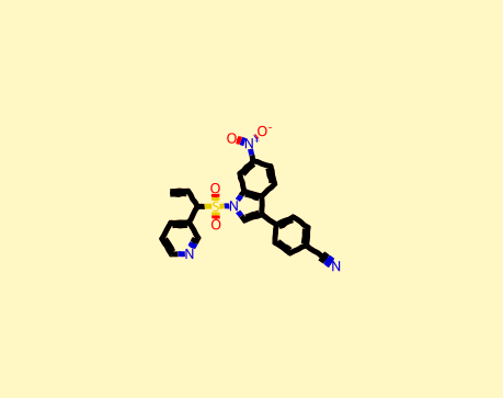 C=CC(c1cccnc1)S(=O)(=O)n1cc(-c2ccc(C#N)cc2)c2ccc([N+](=O)[O-])cc21